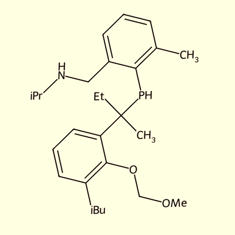 CCC(C)c1cccc(C(C)(CC)Pc2c(C)cccc2CNC(C)C)c1OCOC